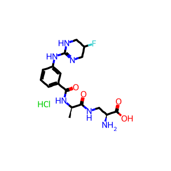 C[C@@H](NC(=O)c1cccc(NC2=NCC(F)CN2)c1)C(=O)NC[C@H](N)C(=O)O.Cl